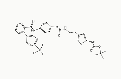 CC(C)(C)OC(=O)Nc1nc(CCNC(=O)Oc2ccc(NC(=O)c3ccccc3-c3ccc(C(F)(F)F)cc3)cc2)cs1